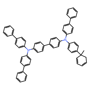 CC1(c2ccc(N(c3ccc(-c4ccccc4)cc3)c3ccc(-c4ccc(N(c5ccc(-c6ccccc6)cc5)c5ccc(-c6ccccc6)cc5)cc4)cc3)cc2)C=CC=CC1